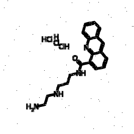 Cl.Cl.Cl.NCCNCCCNC(=O)c1cccc2cc3ccccc3nc12